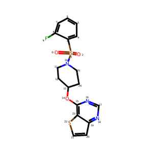 O=S(=O)(c1ccccc1F)N1CCC(Oc2ncnc3ccsc23)CC1